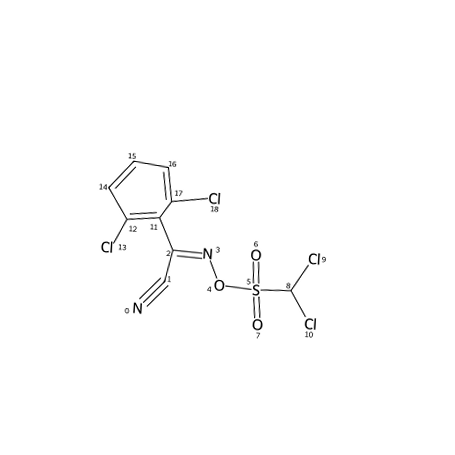 N#CC(=NOS(=O)(=O)C(Cl)Cl)c1c(Cl)cccc1Cl